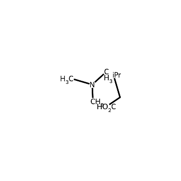 CC(C)CC(=O)O.CN(C)C